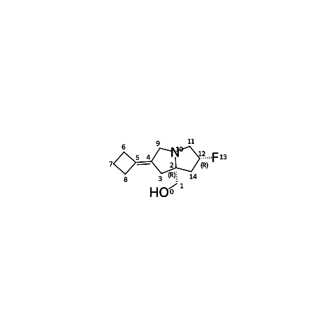 OC[C@]12CC(=C3CCC3)CN1C[C@H](F)C2